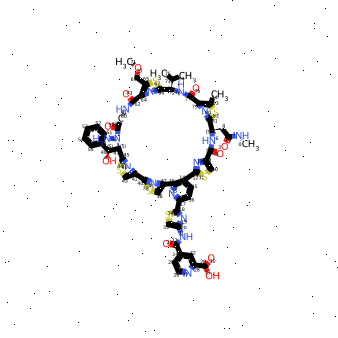 CNC(=O)C[C@@H]1NC(=O)c2csc(n2)-c2ccc(-c3nc(NC(=O)c4ccnc(C(=O)O)c4)cs3)nc2-c2csc(n2)-c2csc(n2)[C@H]([C@@H](O)c2ccccc2)N(N)C(=O)CNC(=O)c2nc(sc2COC)[C@H](C(C)C)NC(=O)c2nc1sc2C